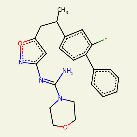 CC(Cc1cc(N=C(N)N2CCOCC2)no1)c1ccc(-c2ccccc2)c(F)c1